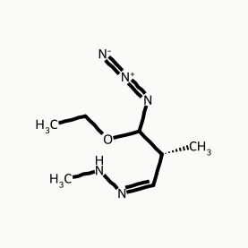 CCOC(N=[N+]=[N-])[C@H](C)/C=N\NC